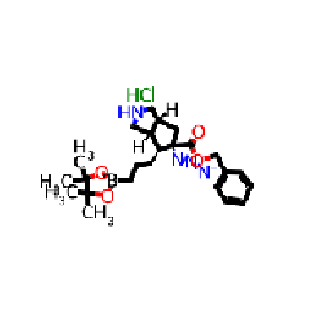 CC1(C)OB(CCC[C@H]2[C@@H]3CNC[C@@H]3C[C@@]2(N=[N+]=[N-])C(=O)OCc2ccccc2)OC1(C)C.Cl